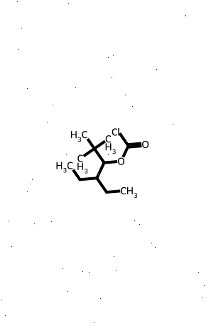 CCC(CC)C(OC(=O)Cl)C(C)(C)C